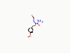 COc1ccc(CCC(=N[C]=O)C(N)=O)cc1